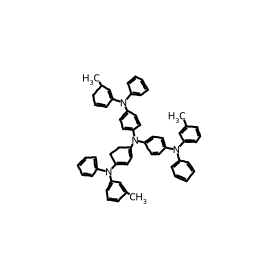 Cc1cccc(N(C2=CC=C(N(c3ccc(N(C4=CC(C)CC=C4)c4ccccc4)cc3)c3ccc(N(c4ccccc4)c4cccc(C)c4)cc3)CC2)c2ccccc2)c1